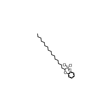 CCCCCCCCCCCCCCCCC(Oc1ccccc1)[Si](Cl)(Cl)Cl